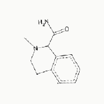 CN1CCc2[c]cccc2C1C(N)=O